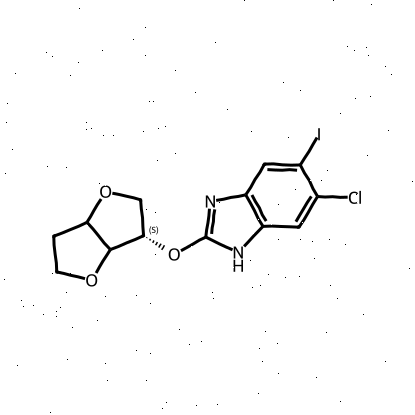 Clc1cc2[nH]c(O[C@H]3COC4CCOC43)nc2cc1I